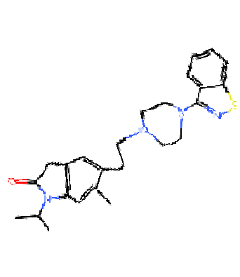 Cc1cc2c(cc1CCN1CCN(c3nsc4ccccc34)CC1)CC(=O)N2C(C)C